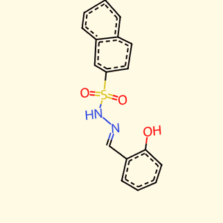 O=S(=O)(NN=Cc1ccccc1O)c1ccc2ccccc2c1